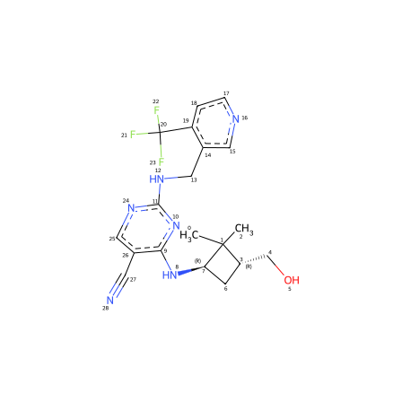 CC1(C)[C@H](CO)C[C@H]1Nc1nc(NCc2cnccc2C(F)(F)F)ncc1C#N